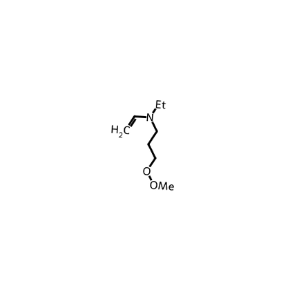 C=CN(CC)CCCOOC